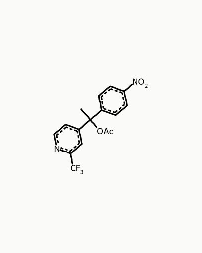 CC(=O)OC(C)(c1ccc([N+](=O)[O-])cc1)c1ccnc(C(F)(F)F)c1